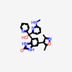 CNc1cccc(C(O)(c2ccccn2)c2cc(-c3c(C)noc3C)cc3[nH]c(=O)[nH]c23)n1